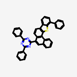 c1ccc(-c2nc(-c3ccccc3)nc(-c3cc4ccccc4c4c3ccc3c5cccc(-c6ccccc6)c5sc34)n2)cc1